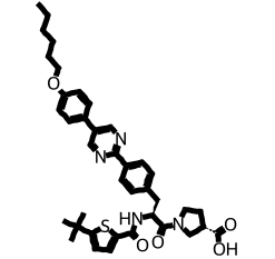 CCCCCCOc1ccc(-c2cnc(-c3ccc(C[C@H](NC(=O)c4ccc(C(C)(C)C)s4)C(=O)N4CC[C@H](C(=O)O)C4)cc3)nc2)cc1